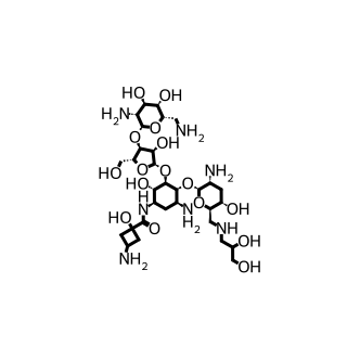 NC[C@@H]1O[C@H](O[C@H]2[C@@H](O)[C@H](O[C@@H]3[C@@H](O)[C@H](NC(=O)C4(O)CC(N)C4)C[C@H](N)[C@H]3O[C@H]3O[C@H](CNCC(O)CO)[C@@H](O)C[C@H]3N)O[C@@H]2CO)[C@H](N)[C@@H](O)[C@@H]1O